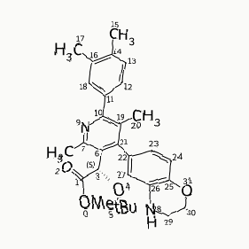 COC(=O)[C@@H](OC(C)(C)C)c1c(C)nc(-c2ccc(C)c(C)c2)c(C)c1-c1ccc2c(c1)NCCO2